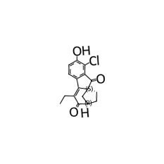 CCC1=C2c3ccc(O)c(Cl)c3C(=O)[C@]23CC[C@H](C3)C1=O